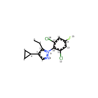 CCc1c(C2CC2)cnn1-c1c(Cl)cc(F)cc1Cl